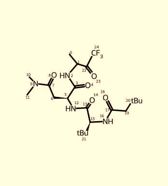 CC(NC(=O)[C@H](CC(=O)N(C)C)NC(=O)[C@@H](NC(=O)CC(C)(C)C)C(C)(C)C)C(=O)C(F)(F)F